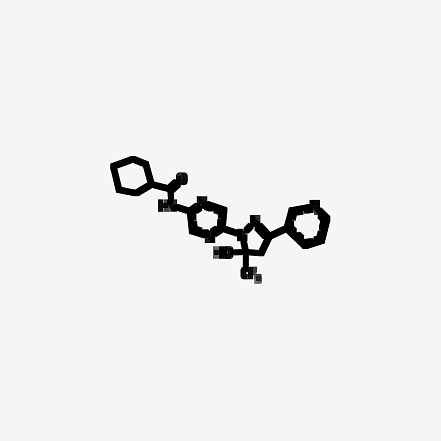 O=C(Nc1cnc(N2N=C(c3cccnc3)CC2(O)C(F)(F)F)cn1)C1CCCCC1